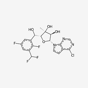 C[C@@]1(O)[C@@H](C(O)c2cc(F)cc(C(F)F)c2F)O[C@@H](n2ccc3c(Cl)ncnc32)[C@@H]1O